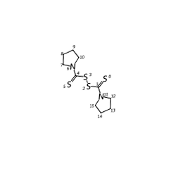 S=C(SSC(=S)N1CCCC1)N1CCCC1